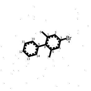 Cc1cc(Br)cc(C)c1-c1ccccc1